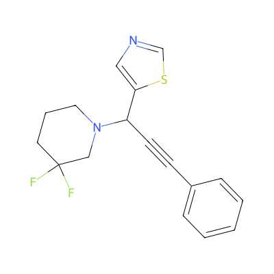 FC1(F)CCCN(C(C#Cc2ccccc2)c2cncs2)C1